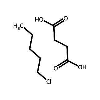 CCCCCCl.O=C(O)CCC(=O)O